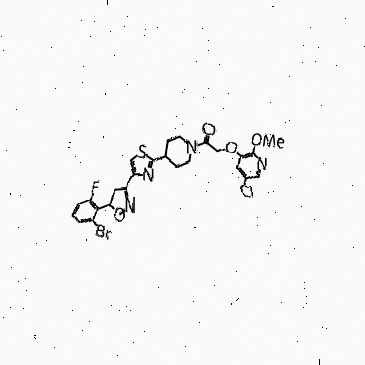 COc1ncc(Cl)cc1OCC(=O)N1CCC(c2nc(C3=NOC(c4c(F)cccc4Br)C3)cs2)CC1